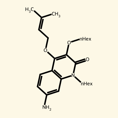 CCCCCCOc1c(OCC=C(C)C)c2ccc(N)cc2n(CCCCCC)c1=O